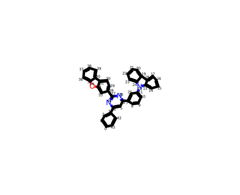 c1ccc(-c2cc(-c3cccc(-n4c5ccccc5c5ccccc54)c3)nc(-c3ccc4c(c3)oc3ccccc34)n2)cc1